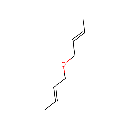 CC=CCOCC=CC